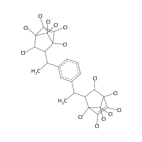 CC(c1cccc(C(C)C2C(Cl)C3(Cl)C(Cl)=C(Cl)C2(Cl)C3(Cl)Cl)c1)C1C(Cl)C2(Cl)C(Cl)=C(Cl)C1(Cl)C2(Cl)Cl